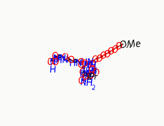 COCCOCCOCCOCCOCCOCCOCCOCCC(=O)NCCNC(=O)c1cc(NC(=O)[C@H](CCCNC(N)=O)NC(=O)[C@@H](NC(=O)CCN2C(=O)C=CC2=O)C(C)C)ccc1COC(=O)NCc1ccc(COc2ccc(NC(=O)NCc3ccc4c(c3)CN(C3CCC(=O)NC3=O)C4=O)cc2)cc1